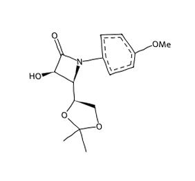 COc1ccc(N2C(=O)[C@H](O)[C@@H]2[C@H]2COC(C)(C)O2)cc1